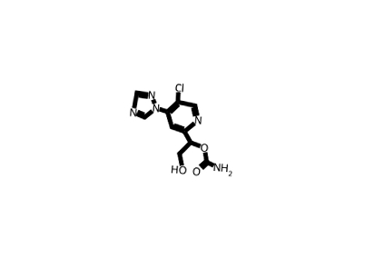 NC(=O)OC(CO)c1cc(-n2cncn2)c(Cl)cn1